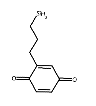 O=C1C=CC(=O)C(CCC[SiH3])=C1